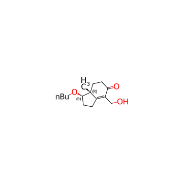 CCCCO[C@@H]1CCC2=C(CO)C(=O)CC[C@]21C